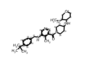 COC1COCCC1NC1CCN(C(=O)c2nncc(NCc3ccc(C(C)(C)C)cc3)c2C)CC1